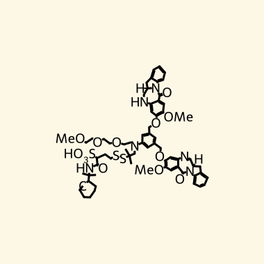 COCCOCCOCCN(CC(C)(C)SSCCC(C(=O)NC(C)(C)C1CCCCCC1)S(=O)(=O)O)c1cc(COc2cc3c(cc2OC)C(=O)N2c4ccccc4C[C@H]2C=N3)cc(COc2cc3c(cc2OC)C(=O)N2c4ccccc4C[C@H]2CN3)c1